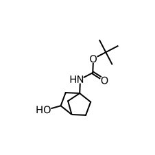 CC(C)(C)OC(=O)NC12CCC(C1)C(O)C2